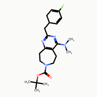 CN(C)c1nc(CC2C=CC(F)=CC2)nc2c1CCN(C(=O)OC(C)(C)C)CC2